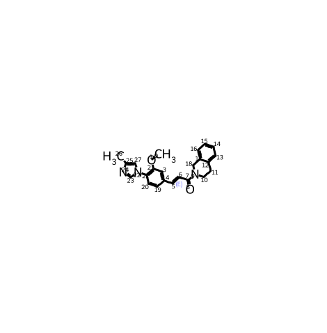 COc1cc(/C=C/C(=O)N2CCc3ccccc3C2)ccc1-n1cnc(C)c1